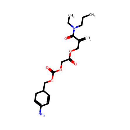 C=C(COC(=O)COC(=O)OCC1C=CC(N)=CC1)C(=O)N(CC)CCC